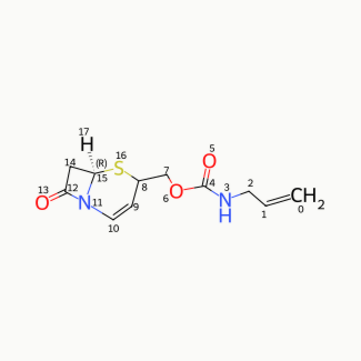 C=CCNC(=O)OCC1C=CN2C(=O)C[C@H]2S1